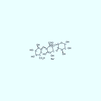 O=C(O)[C@H]1O[C@H](O[C@@H]2[C@H](O)[C@@H](O)[C@@H](O[C@@H]3[C@H](O)[C@@H](O)[C@@H](O)O[C@@H]3C(=O)O)O[C@@H]2C(=O)[O-])[C@H](O)[C@@H](O)[C@H]1O.[Na+]